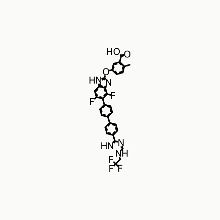 Cc1ccc(Oc2nc3c(F)c(-c4ccc(-c5ccc(C(=N)/N=C\NCC(F)(F)F)cc5)cc4)c(F)cc3[nH]2)cc1C(=O)O